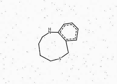 c1ccc2c(c1)CSCCCCN2